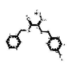 O=C(OCc1ccccc1)/C(CCc1ccc(F)cc1)=N\O